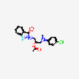 CC(=O)OC(CNC(=O)c1ccccc1F)CN(C)c1ccc(Cl)cc1